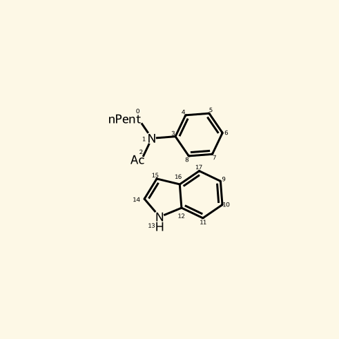 CCCCCN(C(C)=O)c1ccccc1.c1ccc2[nH]ccc2c1